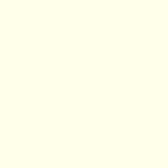 [CH]1=[Sb][SbH][O]OO1